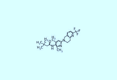 Cc1cc(N2CCc3nc(C(F)(F)F)ccc3C2)nc(C)c1NC(=O)CC(C)(C)C